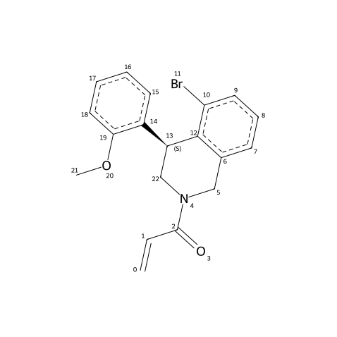 C=CC(=O)N1Cc2cccc(Br)c2[C@H](c2ccccc2OC)C1